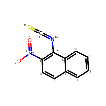 O=[N+]([O-])c1ccc2ccccc2c1N=C=S